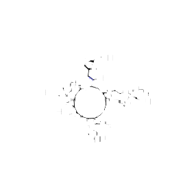 CC[Si](CC)(CC)O[C@H]1[C@@H](C)CCC[C@]2(C)[C@H](C[C@@H](/C(C)=C/c3csc(SC)n3)OC(=O)C[C@H](O[Si](CC)(CC)CC)C(C)(C)C(=O)[C@@H]1C)N2CCO[Si](C)(C)C(C)(C)C